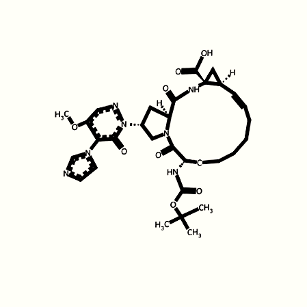 COc1cnn([C@@H]2C[C@H]3C(=O)N[C@]4(C(=O)O)C[C@H]4/C=C\CCCCC[C@H](NC(=O)OC(C)(C)C)C(=O)N3C2)c(=O)c1-n1ccnc1